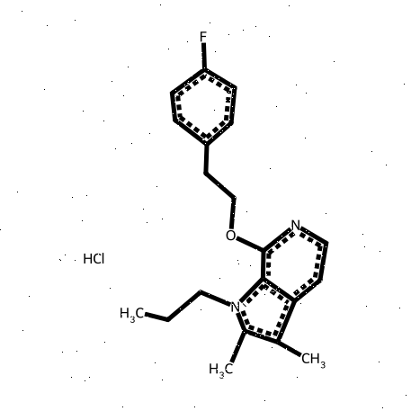 CCCn1c(C)c(C)c2ccnc(OCCc3ccc(F)cc3)c21.Cl